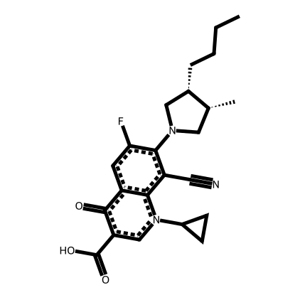 CCCC[C@H]1CN(c2c(F)cc3c(=O)c(C(=O)O)cn(C4CC4)c3c2C#N)C[C@H]1C